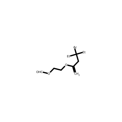 C=C(CC(CC)(CC)C(C)=O)OCCOC=O